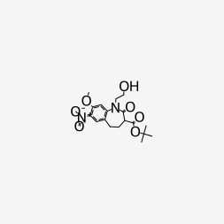 COc1cc2c(cc1[N+](=O)[O-])CCC(C(=O)OC(C)(C)C)C(=O)N2CCO